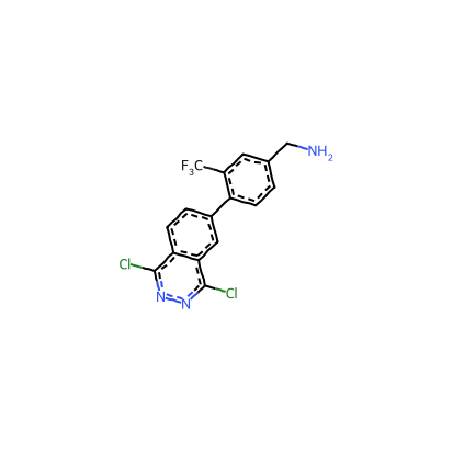 NCc1ccc(-c2ccc3c(Cl)nnc(Cl)c3c2)c(C(F)(F)F)c1